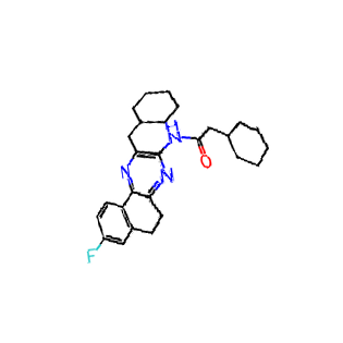 O=C(CC1CCCCC1)Nc1nc2c(nc1CC1CCCCC1)-c1ccc(F)cc1CC2